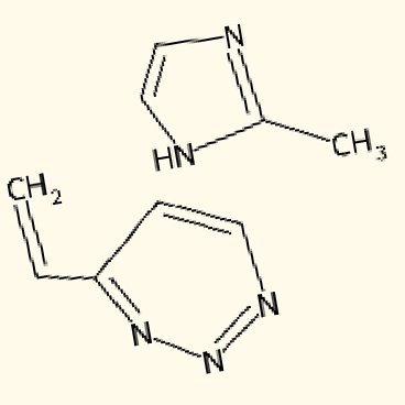 C=Cc1ccnnn1.Cc1ncc[nH]1